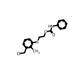 Cc1c(CCl)cccc1SCCOC(=O)Nc1ccccc1